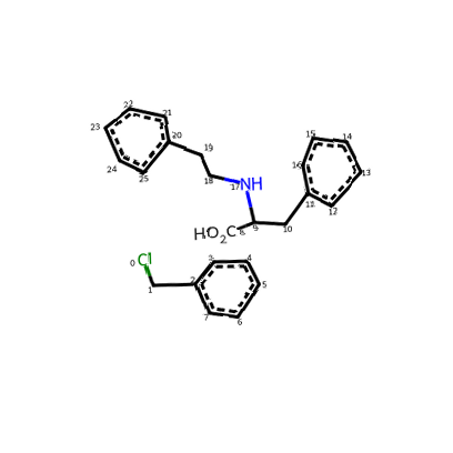 ClCc1ccccc1.O=C(O)C(Cc1ccccc1)NCCc1ccccc1